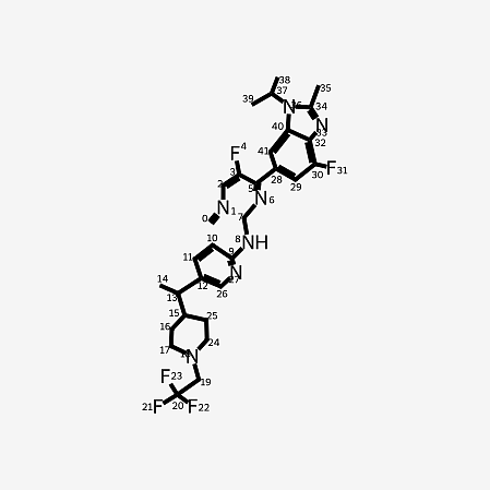 C=N/C=C(F)\C(=N/CNc1ccc(C(C)C2CCN(CC(F)(F)F)CC2)cn1)c1cc(F)c2nc(C)n(C(C)C)c2c1